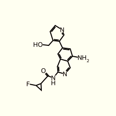 Nc1cc(-c2cnccc2CO)cc2cc(NC(=O)C3CC3F)ncc12